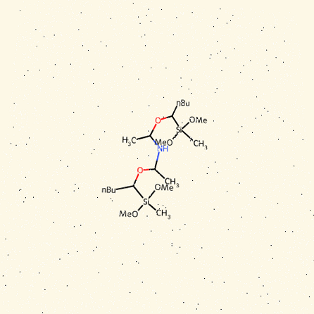 CCCCC(OC(C)NC(C)OC(CCCC)[Si](C)(OC)OC)[Si](C)(OC)OC